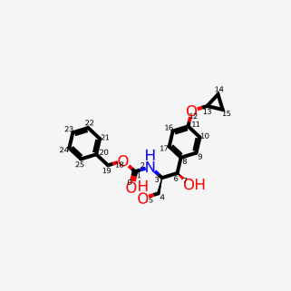 O=C(N[C@H](CO)[C@H](O)c1ccc(OC2CC2)cc1)OCc1ccccc1